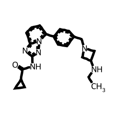 CCNC1CN(Cc2ccc(-c3cccc4nc(NC(=O)C5CC5)nn34)cc2)C1